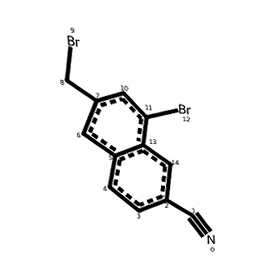 N#Cc1ccc2cc(CBr)cc(Br)c2c1